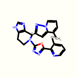 Cc1cccnc1-c1nnc(N2CCc3[nH]cnc3[C@H]2c2cc3c(C)cccn3n2)o1